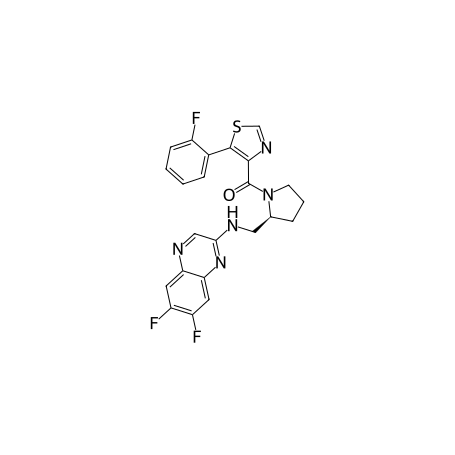 O=C(c1ncsc1-c1ccccc1F)N1CCC[C@H]1CNc1cnc2cc(F)c(F)cc2n1